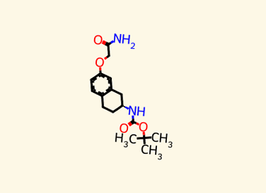 CC(C)(C)OC(=O)N[C@H]1CCc2ccc(OCC(N)=O)cc2C1